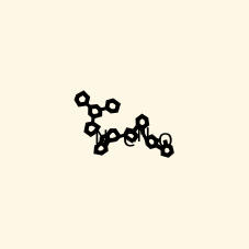 c1ccc(-c2cc(-c3ccccc3)cc(-c3cccc(-n4c5ccccc5c5cc(-c6ccc7c(c6)c6ccccc6n7-c6ccc7c(c6)oc6ccccc67)ccc54)c3)c2)cc1